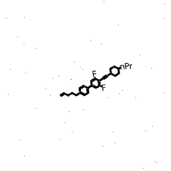 C=CCCCc1ccc(-c2cc(F)c(C#CC3CCC(CCC)CC3)c(F)c2)cc1